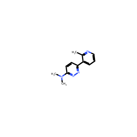 Cc1ncccc1-c1ccc(N(C)C)nn1